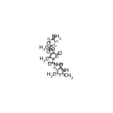 Cc1cc(C)c(CNC(=O)c2cc(Cl)c3c(c2C)OC(C)([C@@H]2CC[C@@H](N)CO2)O3)c(=O)[nH]1